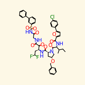 CCC(C)C(NC(=O)c1ccc(-c2ccc(Cl)cc2)o1)C(=O)N1C[C@H](OCc2ccccc2)C[C@H]1C(=O)N[C@@H](CC(F)F)C(=O)C(=O)NCC(=O)NS(=O)(=O)c1cccc(-c2ccccc2)c1